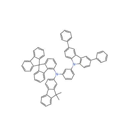 CC1(C)c2ccccc2-c2ccc(N(c3cccc(-n4c5ccc(-c6ccccc6)cc5c5cc(-c6ccccc6)ccc54)c3)c3cccc4c3-c3ccccc3C43c4ccccc4-c4ccccc43)cc21